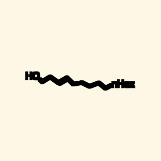 CCCCCCCCCCCC=CCCO